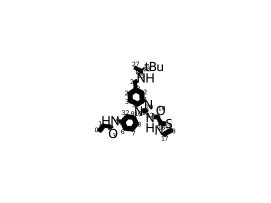 C=CC(=O)Nc1cccc(-n2c(NC(=O)c3nccs3)nc3cc(CN[C@@H](C)C(C)(C)C)ccc32)c1